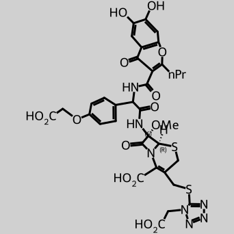 CCCc1oc2cc(O)c(O)cc2c(=O)c1C(=O)NC(C(=O)N[C@]1(OC)C(=O)N2C(C(=O)O)=C(CSc3nnnn3CC(=O)O)CS[C@@H]21)c1ccc(OCC(=O)O)cc1